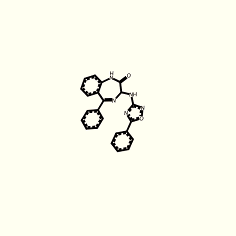 O=C1Nc2ccccc2C(c2ccccc2)=NC1Nc1noc(-c2ccccc2)n1